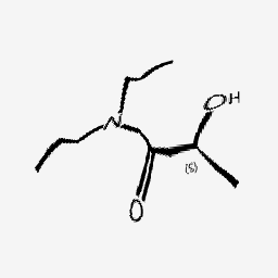 CCN(CC)C(=O)[C@H](C)O